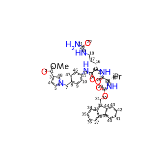 COC(=O)c1ccn(Cc2ccc(NC(=O)[C@H](CCCNC(N)=O)NC(=O)[C@@H](NC(=O)OCC3c4ccccc4-c4ccccc43)C(C)C)cc2)c1